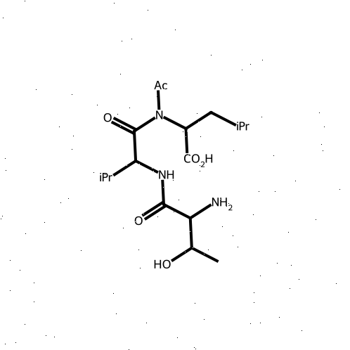 CC(=O)N(C(=O)C(NC(=O)C(N)C(C)O)C(C)C)C(CC(C)C)C(=O)O